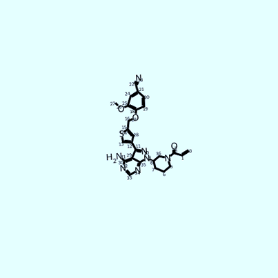 C=CC(=O)N1CCC[C@@H](n2nc(-c3csc(COc4ccc(C#N)cc4OC)c3)c3c(N)ncnc32)C1